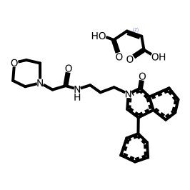 O=C(CN1CCOCC1)NCCCn1cc(-c2ccccc2)c2ccccc2c1=O.O=C(O)/C=C\C(=O)O